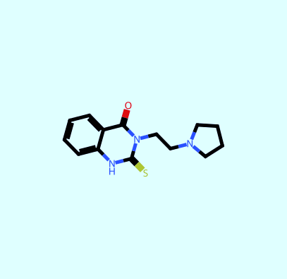 O=c1c2ccccc2[nH]c(=S)n1CCN1CCCC1